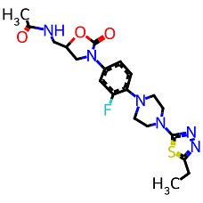 CCc1nnc(N2CCN(c3ccc(N4CC(CNC(C)=O)OC4=O)cc3F)CC2)s1